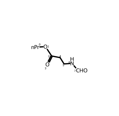 CCCOC(=O)CCNC=O